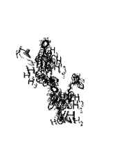 CN[C@H](C(=O)N[C@H](C(=O)N(C)[C@H](/C=C(\C)C(=O)NS(=O)(=O)Cc1ccc(C2(NC(=O)[C@H](CCCNC(N)O)NC(=O)[C@@H](NC(=O)CCCCCN3C(=O)C=CC3=O)C(C)C)CC2)cc1)C(C)C)C(C)(C)C)C(C)(C)c1ccccc1